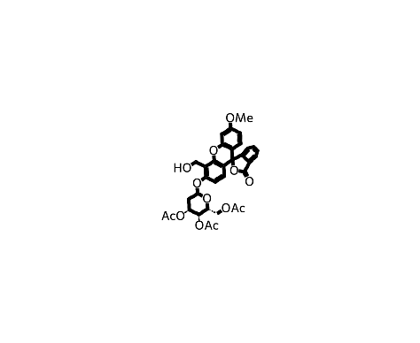 COc1ccc2c(c1)Oc1c(ccc(OC3C[C@@H](OC(C)=O)[C@@H](OC(C)=O)[C@@H](COC(C)=O)O3)c1CO)C21OC(=O)c2ccccc21